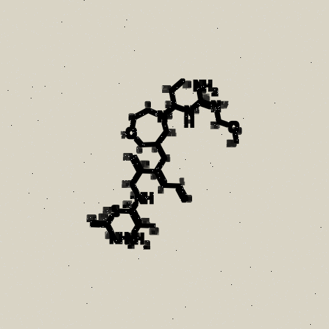 C=C/C=C(\CC1COCCN(C(CC)N/C(N)=N\COC)C1)C(=C)CN/C(SC(=C)N)=C(\C)N